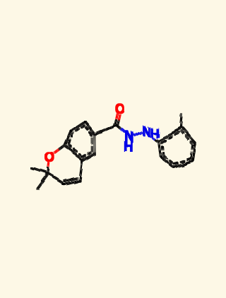 Cc1ccccc1NNC(=O)c1ccc2c(c1)C=CC(C)(C)O2